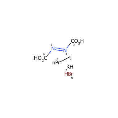 Br.CCCC.O=C(O)/N=N/C(=O)O.[KH]